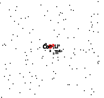 [Co+2].[Li+].[O-2].[Ti+4]